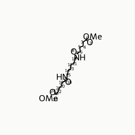 COC(=O)CCCCC(=O)NCCCCCCNC(=O)CCCCC(=O)OC